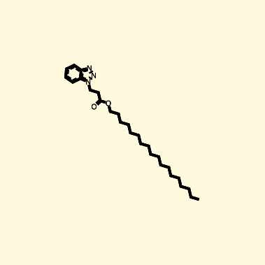 CCCCCCCCCCCCCCCCCCOC(=O)CCn1nnc2ccccc21